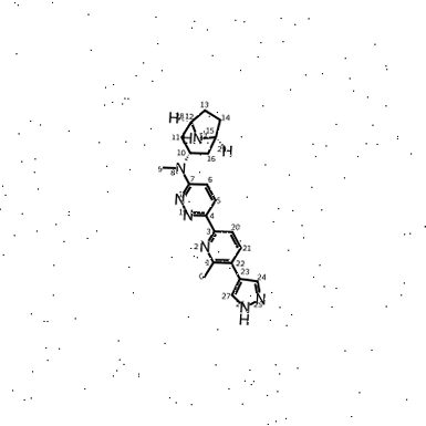 Cc1nc(-c2ccc(N(C)[C@@H]3C[C@H]4CC[C@@H](C3)N4)nn2)ccc1-c1cn[nH]c1